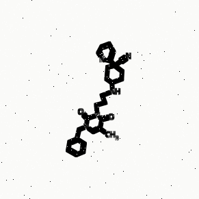 Cc1cn(Cc2ccccc2)c(=O)n(CCCNC2CCC(C#N)(c3ccccn3)CC2)c1=O